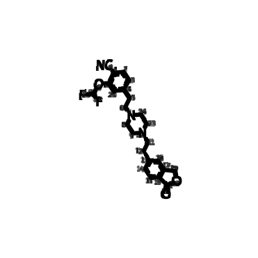 N#Cc1ccc(CCN2CCN(CCc3ccc4c(c3)COC4=O)CC2)cc1OC(F)F